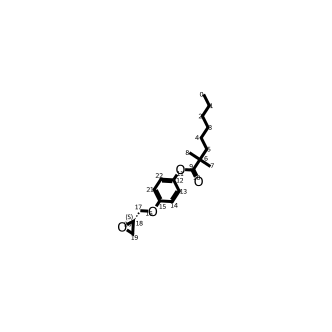 CCCCCCC(C)(C)C(=O)Oc1ccc(OC[C@@H]2CO2)cc1